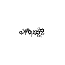 Cc1cc(-c2c(O)cccc2Cl)cc2nnc(Nc3ccc([SH](C)(=O)NCCN4CCCC4)cc3)nc12